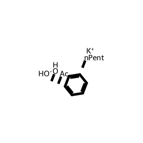 CC(C)=O.CCCCCC.CO.[K+].[OH-].c1ccccc1